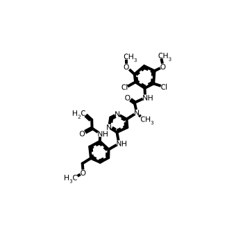 C=CC(=O)Nc1cc(COC)ccc1Nc1cc(N(C)C(=O)Nc2c(Cl)c(OC)cc(OC)c2Cl)ncn1